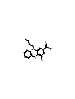 CCCCNc1cc(C(=O)O)cc(C)c1Sc1ccccc1